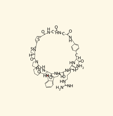 N=C(N)NCCC[C@@H]1NC(=O)[C@H](Cc2c[nH]c3ccccc23)NC(=O)[C@@H](CC2CCCCC2)NC(=O)[C@@H]2CCCN2C(=O)[C@@H]2CSC(=N2)c2ccc(s2)C(=O)NCC(=O)NCC(=O)Nc2ccc(cc2)C[C@@H](C(N)=O)NC1=O